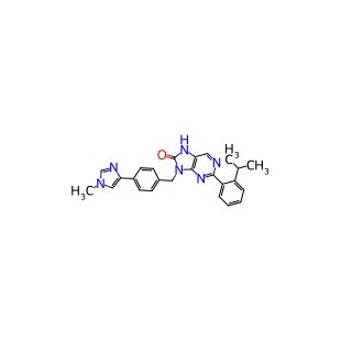 CC(C)c1ccccc1-c1ncc2[nH]c(=O)n(Cc3ccc(-c4cn(C)cn4)cc3)c2n1